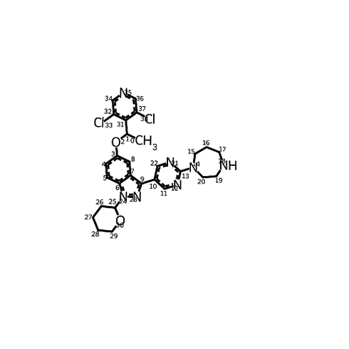 CC(Oc1ccc2c(c1)c(-c1cnc(N3CCCNCC3)nc1)nn2C1CCCCO1)c1c(Cl)cncc1Cl